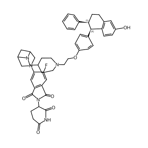 O=C1CCC(N2C(=O)c3cc(F)c(N4CC5CC(C4)N5CC4CCN(CCOc5ccc([C@@H]6c7ccc(O)cc7CC[C@@H]6c6ccccc6)cc5)CC4)cc3C2=O)C(=O)N1